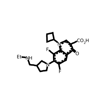 CCNCC1CCN(c2c(F)cc3c(=O)c(C(=O)O)cn(C4CCC4)c3c2F)C1